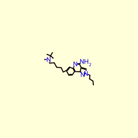 CCCCn1cc2c(N)nc3cc(CCCCCN(C)C(C)(C)C)ccc3c2n1